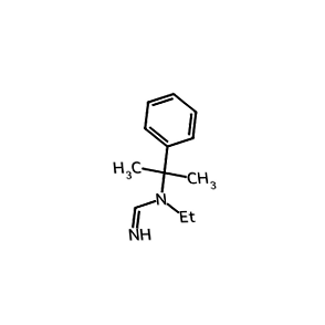 CCN(C=N)C(C)(C)c1ccccc1